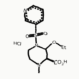 CCOC1C(C(=O)O)N(C)CCN1S(=O)(=O)c1cccnc1.Cl